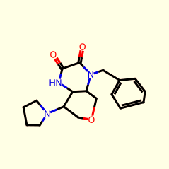 O=C1NC2C(N3CCCC3)COCC2N(Cc2ccccc2)C1=O